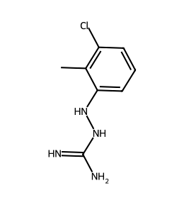 Cc1c(Cl)cccc1NNC(=N)N